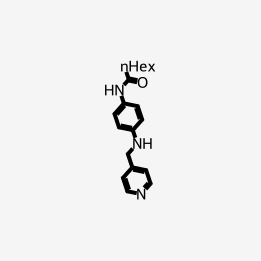 CCCCCCC(=O)Nc1ccc(NCc2ccncc2)cc1